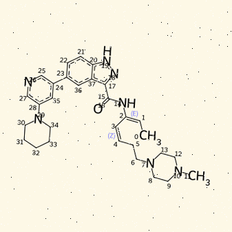 C/C=C(\C=C/CCN1CCN(C)CC1)NC(=O)c1n[nH]c2ccc(-c3cncc(N4CCCCC4)c3)cc12